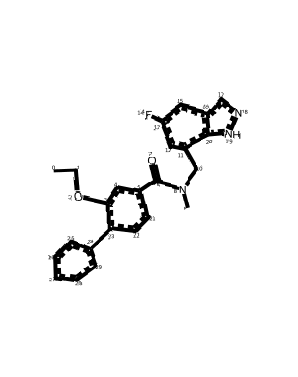 CCOc1cc(C(=O)N(C)Cc2cc(F)cc3cn[nH]c23)ccc1-c1ccccc1